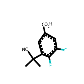 CC(C)(C#N)c1cc(C(=O)O)cc(F)c1F